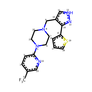 FC(F)(F)c1ccc(N2CCN(Cc3c[nH]nc3-c3cccs3)CC2)nc1